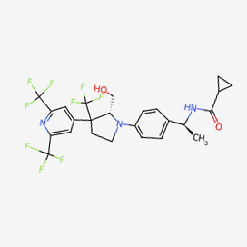 C[C@H](NC(=O)C1CC1)c1ccc(N2CCC(c3cc(C(F)(F)F)nc(C(F)(F)F)c3)(C(F)(F)F)[C@@H]2CO)cc1